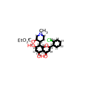 CCOC(=O)OC1CN(C)CCC1c1c(O)cc(O)c2c(=O)cc(-c3ccccc3Cl)oc12